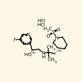 CC(C)(C[C@H]1CCCN(S(C)(=O)=O)C1)NC[C@H](O)c1cncc(F)c1.Cl.Cl